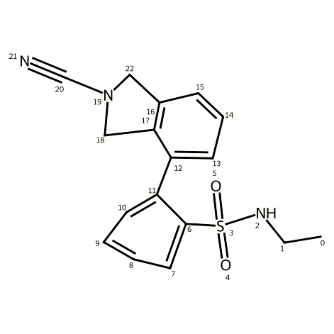 CCNS(=O)(=O)c1ccccc1-c1cccc2c1CN(C#N)C2